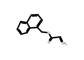 C=CC(=O)OCc1cccc2ccccc12